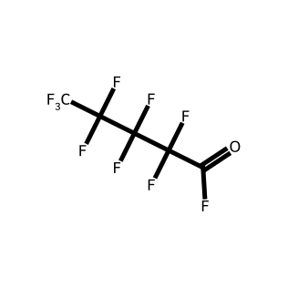 O=C(F)C(F)(F)C(F)(F)C(F)(F)C(F)(F)F